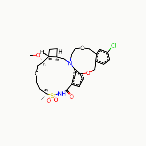 CO[C@H]1CCCC[C@@H](C)S(=O)(=O)NC(=O)c2ccc3c(c2)N(CCCCc2cc(Cl)ccc2CO3)C[C@@H]2CC[C@H]21